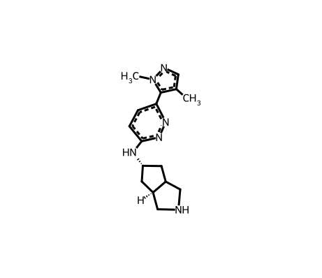 Cc1cnn(C)c1-c1ccc(N[C@@H]2CC3CNC[C@H]3C2)nn1